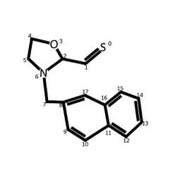 S=CC1OCCN1Cc1ccc2ccccc2c1